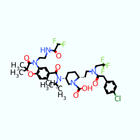 Cc1cc2c(cc1C(=O)N(C(C)C)[C@@H]1CC[C@H](CCN(CC(F)(F)F)C(=O)Cc3ccc(Cl)cc3)N(C(=O)O)C1)N(CCNC(=O)C(F)F)C(=O)C(C)(C)O2